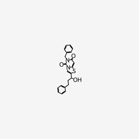 O=c1cc2sc(C(O)CCc3ccccc3)cn2c(=O)n1Cc1ccccc1